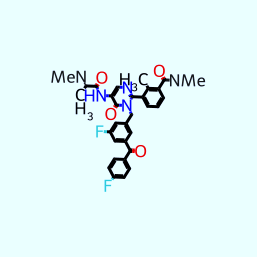 CNC(=O)c1cccc(-c2ncc(NC(=O)[C@H](C)NC)c(=O)n2Cc2cc(F)cc(C(=O)c3ccc(F)cc3)c2)c1C